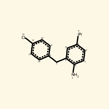 CC(C)c1ccc(N)c(Cc2ccc(Cl)cc2)c1